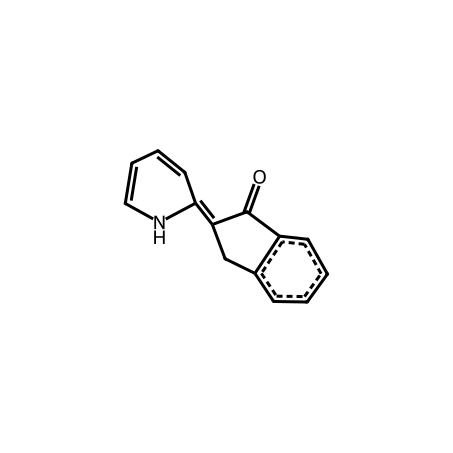 O=C1C(=C2C=CC=CN2)Cc2ccccc21